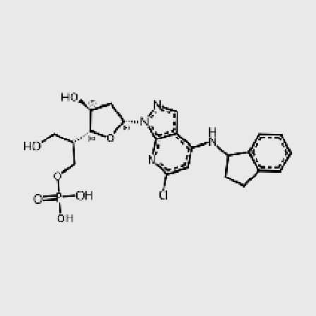 O=P(O)(O)OCC(CO)[C@H]1O[C@@H](n2ncc3c(NC4CCc5ccccc54)cc(Cl)nc32)C[C@@H]1O